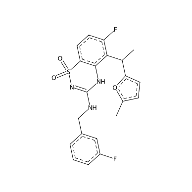 Cc1ccc(C(C)c2c(F)ccc3c2NC(NCc2cccc(F)c2)=NS3(=O)=O)o1